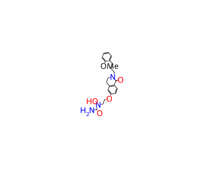 COc1ccccc1CCCN1CCc2cc(OCCN(O)C(N)=O)ccc2C1=O